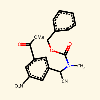 COC(=O)c1cc(C(C#N)N(C)C(=O)OCc2ccccc2)cc([N+](=O)[O-])c1